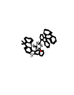 CC1(C)c2ccccc2N(c2nc(-c3ccccc3)nc(-c3cccc4c3-c3ccccc3C43c4ccccc4-c4ccccc43)n2)c2c1ccc1sc3ccccc3c21